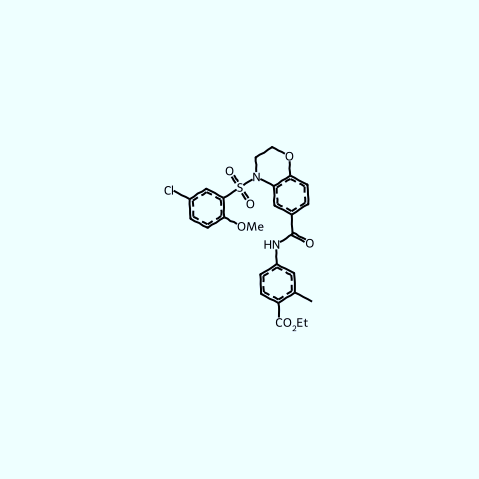 CCOC(=O)c1ccc(NC(=O)c2ccc3c(c2)N(S(=O)(=O)c2cc(Cl)ccc2OC)CCO3)cc1C